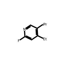 CCc1cc(F)ncc1C(C)C